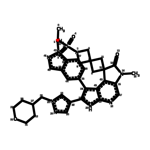 CCS(=O)(=O)N1CC2(C1)CC1(C2)C(=O)N(C)c2cnc3[nH]c(-c4cnn(CC5CCOCC5)c4)c(-c4ccc5c(cnn5C)c4)c3c21